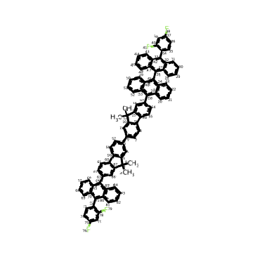 CC1(C)c2cc(-c3ccc4c(c3)C(C)(C)c3cc(-c5c6ccccc6c(-c6c7ccccc7c(-c7ccc(F)cc7F)c7ccccc67)c6ccccc56)ccc3-4)ccc2-c2ccc(-c3c4ccccc4c(-c4ccc(F)cc4F)c4ccccc34)cc21